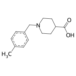 Cc1ccc(CN2CCC(C(=O)O)CC2)cc1